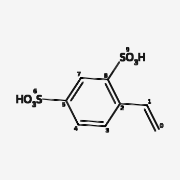 C=Cc1ccc(S(=O)(=O)O)cc1S(=O)(=O)O